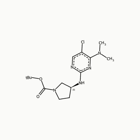 CN(C)c1nc(N[C@H]2CCN(C(=O)OC(C)(C)C)C2)ncc1Cl